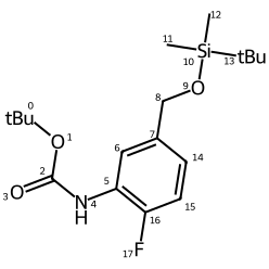 CC(C)(C)OC(=O)Nc1cc(CO[Si](C)(C)C(C)(C)C)ccc1F